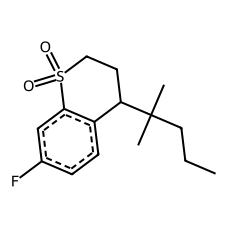 CCCC(C)(C)C1CCS(=O)(=O)c2cc(F)ccc21